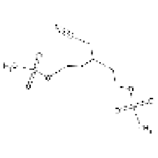 CS(=O)(=O)OCCC(CC#N)CCOS(C)(=O)=O